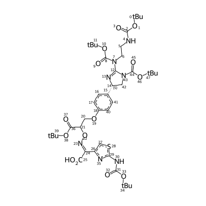 CC(C)(C)OC(=O)NCCN(C(=O)OC(C)(C)C)C1=N[C@@H](c2ccc(OCC(ON=C(C(=O)O)c3csc(NC(=O)OC(C)(C)C)n3)C(=O)OC(C)(C)C)cc2)CN1C(=O)OC(C)(C)C